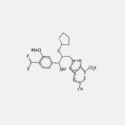 COc1cc(C(O)C(Cn2cc3cc(C#N)cc(C(=O)O)c3n2)OC2CCCC2)ccc1C(F)F